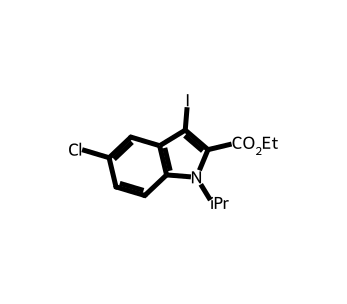 CCOC(=O)c1c(I)c2cc(Cl)ccc2n1C(C)C